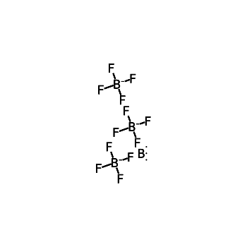 F[B-](F)(F)F.F[B-](F)(F)F.F[B-](F)(F)F.[B]